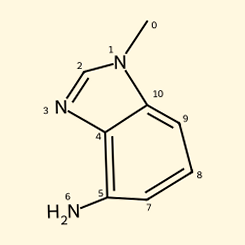 Cn1cnc2c(N)cccc21